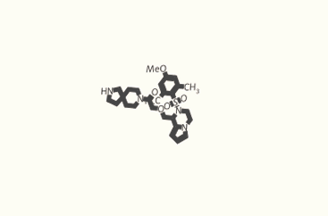 COc1cc(C)c(S(=O)(=O)N2CCn3cccc3C2COCC(=O)N2CCC3(CCNC3)CC2)c(C)c1